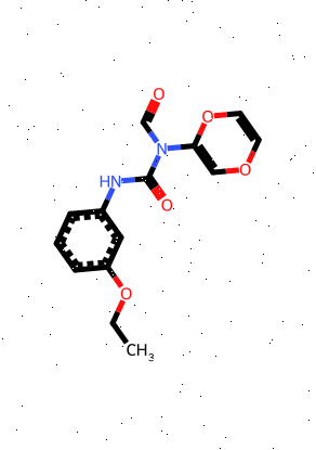 CCOc1cccc(NC(=O)N(C=O)C2=COC=CO2)c1